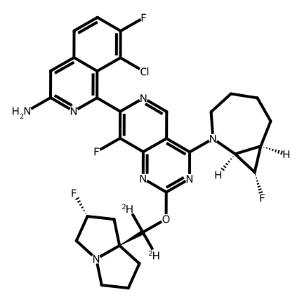 [2H]C([2H])(Oc1nc(N2CCCC[C@H]3[C@H](F)[C@H]32)c2cnc(-c3nc(N)cc4ccc(F)c(Cl)c34)c(F)c2n1)[C@@]12CCCN1C[C@H](F)C2